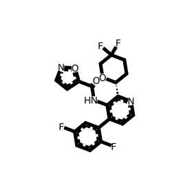 O=C(Nc1c(-c2cc(F)ccc2F)ccnc1[C@H]1CCC(F)(F)CO1)c1ccno1